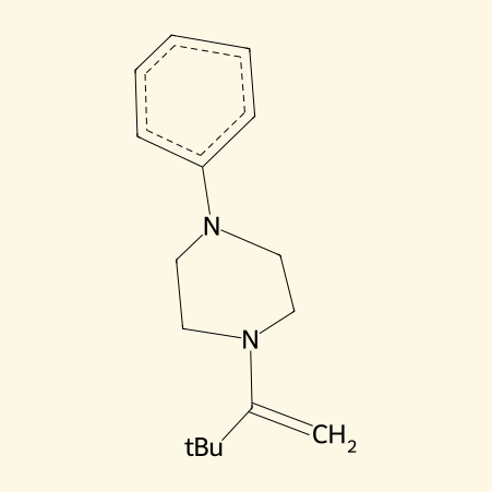 C=C(N1CCN(c2ccccc2)CC1)C(C)(C)C